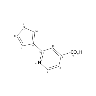 O=C(O)c1ccnc(-c2ccsc2)c1